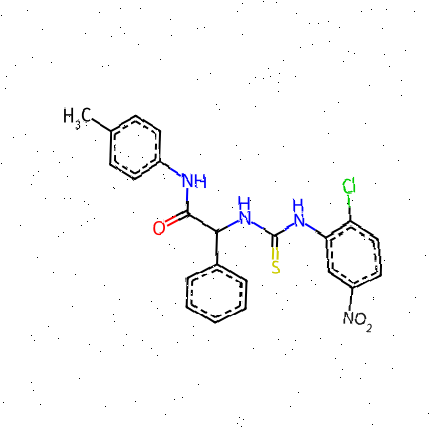 Cc1ccc(NC(=O)C(NC(=S)Nc2cc([N+](=O)[O-])ccc2Cl)c2ccccc2)cc1